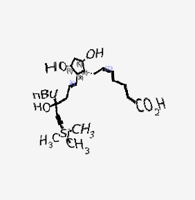 CCCCC(O)(C#C[Si](C)(C)C)C/C=C/[C@@H]1[C@@H](C/C=C\CCCC(=O)O)[C@H](O)C[C@H]1O